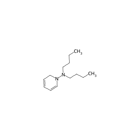 CCCCN(CCCC)N1C=CC=CC1